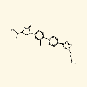 CCCn1nnc(-c2ccc(-c3ccc(N4CC(C(O)F)OC4=O)cc3F)cn2)n1